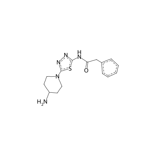 NC1CCN(c2nnc(NC(=O)Cc3ccccc3)s2)CC1